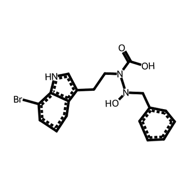 O=C(O)N(CCc1c[nH]c2c(Br)cccc12)N(O)Cc1ccccc1